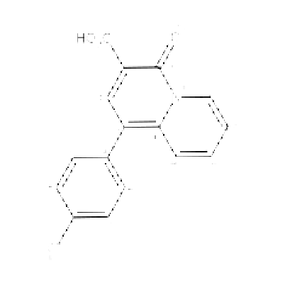 O=C(O)c1cc(-c2ccc(Cl)cc2)c2ccccn2c1=O